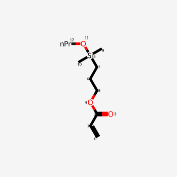 C=CC(=O)OCCC[Si](C)(C)OCCC